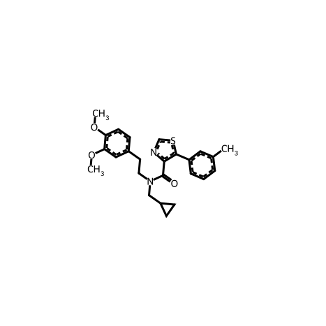 COc1ccc(CCN(CC2CC2)C(=O)c2ncsc2-c2cccc(C)c2)cc1OC